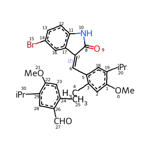 COc1cc(C)c(/C=C2\C(=O)Nc3ccc(Br)cc32)cc1C(C)C.COc1cc(C)c(C=O)cc1C(C)C